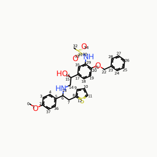 COc1ccc(C(Cc2cccs2)NCC(O)c2ccc(OCc3ccccc3)c(NS(C)(=O)=O)c2)cc1